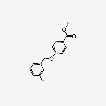 O=C(OF)c1ccc(OCc2cccc(F)c2)cc1